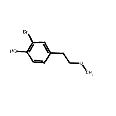 COCCc1ccc(O)c(Br)c1